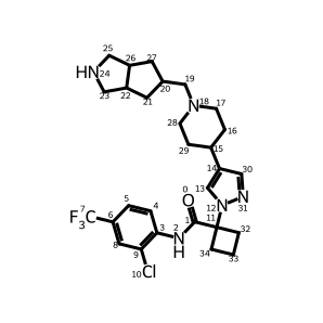 O=C(Nc1ccc(C(F)(F)F)cc1Cl)C1(n2cc(C3CCN(CC4CC5CNCC5C4)CC3)cn2)CCC1